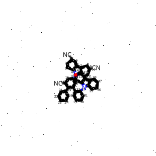 N#Cc1ccc2c(c1)c1cc(C#N)ccc1n2-c1cc(C#N)c(-c2ccccc2)c(-c2ccccc2-n2c3ccccc3c3ccccc32)c1